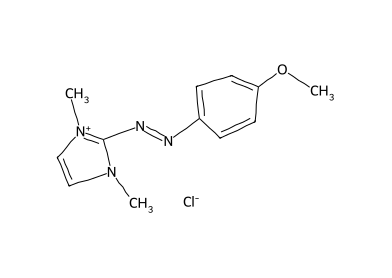 COc1ccc(/N=N/c2n(C)cc[n+]2C)cc1.[Cl-]